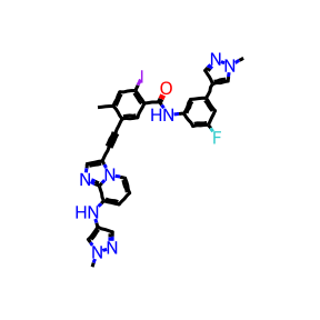 Cc1cc(I)c(C(=O)Nc2cc(F)cc(-c3cnn(C)c3)c2)cc1C#Cc1cnc2c(Nc3cnn(C)c3)cccn12